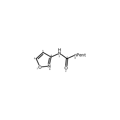 CCCCCC(=O)Nc1ccon1